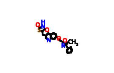 Cc1oc(COc2ccc3cc(CC4SC(=O)NC4=O)cnc3c2)nc1-c1ccccc1